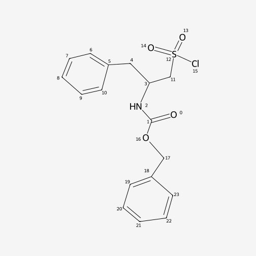 O=C(NC(Cc1ccccc1)CS(=O)(=O)Cl)OCc1ccccc1